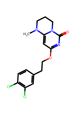 CN1CCCn2c1cc(OCCc1ccc(Cl)c(Cl)c1)nc2=O